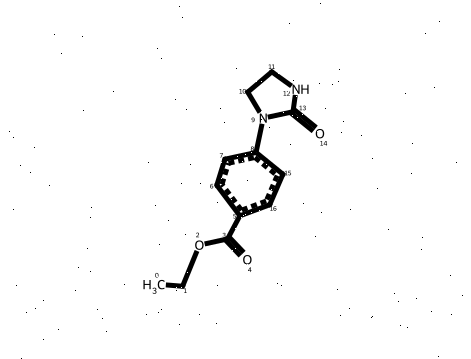 CCOC(=O)c1ccc(N2CCNC2=O)cc1